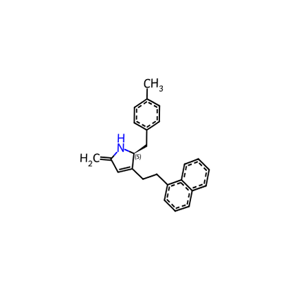 C=C1C=C(CCc2cccc3ccccc23)[C@H](Cc2ccc(C)cc2)N1